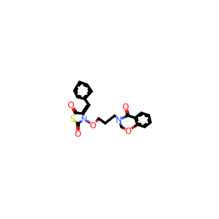 O=C1SC(=O)N(OCCCN2COc3ccccc3C2=O)C1=Cc1ccccc1